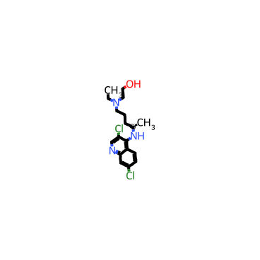 CCN(CCO)CCC[C@@H](C)Nc1c(Cl)cnc2cc(Cl)ccc12